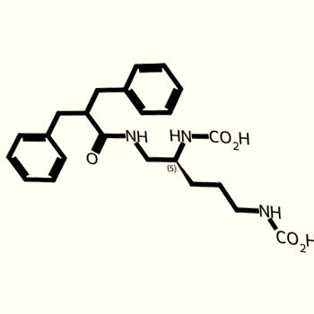 O=C(O)NCCC[C@@H](CNC(=O)C(Cc1ccccc1)Cc1ccccc1)NC(=O)O